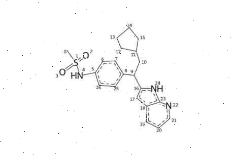 CS(=O)(=O)Nc1ccc(C(CC2CCCC2)c2cc3cccnc3[nH]2)cc1